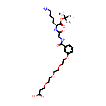 CC(C)(C)OC(=O)[C@H](CCCCN)NC(=O)CNC(=O)c1cccc(OCCOCCOCCOCCC(=O)O)c1